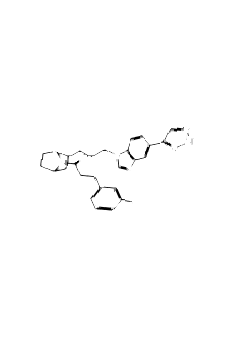 O=C(CCc1cccc(F)c1)N1C2CCC1C(CCCn1cnc3cc(-c4cn[nH]n4)ccc31)C2